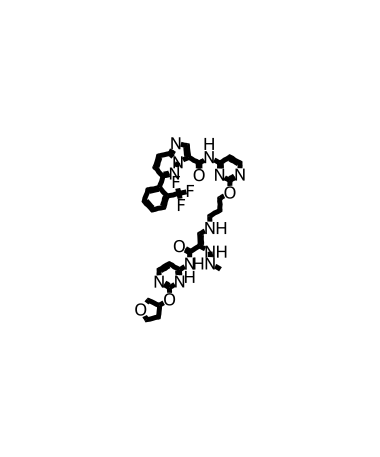 CNN/C(=C\NCCCOc1nccc(NC(=O)c2cnc3ccc(-c4ccccc4C(F)(F)F)nn23)n1)C(=O)Nc1ccnc(OC2CCOC2)n1